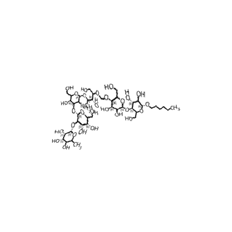 CCCCCCO[C@@H]1OC(CO)[C@@H](O[C@@H]2OC(CO)[C@H](OCOC(CO)[C@H](O)[C@@H](C)O[C@@H]3OC(CO)[C@H](O)[C@H](O[C@@H]4OC(CO)[C@H](O)[C@H](O)C4O[C@@H]4OC(C)C(O)[C@H](O)[C@@H]4O)C3N)[C@H](O)C2O)[C@H](O)C1O